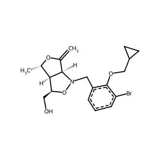 C=C1O[C@@H](C)[C@@H]2[C@H](CO)ON(Cc3cccc(Br)c3OCC3CC3)[C@H]12